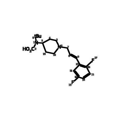 CC(C)(C)N(C(=O)O)C1CCN(CC=Cc2cc(F)ccc2F)CC1